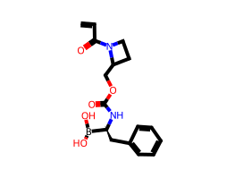 C=CC(=O)N1CCC1COC(=O)N[C@@H](Cc1ccccc1)B(O)O